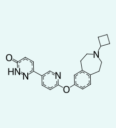 O=c1ccc(-c2ccc(Oc3ccc4c(c3)CCN(C3CCC3)CC4)nc2)n[nH]1